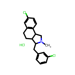 CN1CC2c3ccc(Cl)cc3CCC2C1Cc1cccc(Cl)c1.Cl